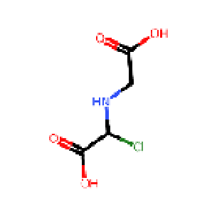 O=C(O)CNC(Cl)C(=O)O